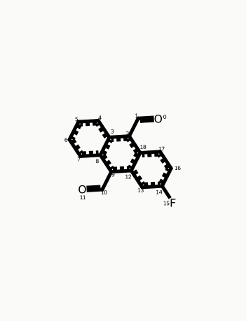 O=Cc1c2ccccc2c(C=O)c2cc(F)ccc12